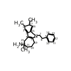 CC1C=c2c3c(n(CCc4ccccc4)c2=CC1C)CCCC(C)(N)C3